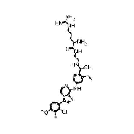 CCc1cc(Nc2nccn3c(-c4ccc(OC)c(F)c4Cl)cnc23)ccc1C(O)NCCNC(=O)C(N)CCCNC(=N)N